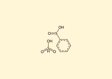 O=S(O)c1ccccc1.O=[SH](=O)O